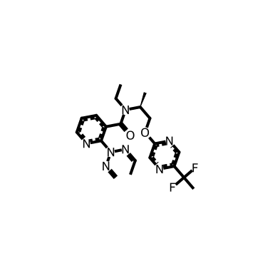 C=NN(/N=C\C)c1ncccc1C(=O)N(CC)[C@@H](C)COc1cnc(C(C)(F)F)cn1